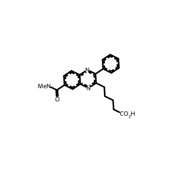 CNC(=O)c1ccc2nc(-c3ccccc3)c(CCCCC(=O)O)nc2c1